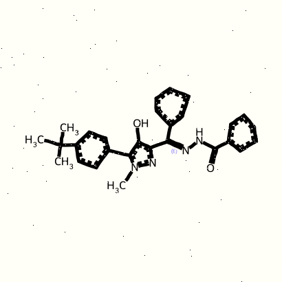 Cn1nc(/C(=N/NC(=O)c2ccccc2)c2ccccc2)c(O)c1-c1ccc(C(C)(C)C)cc1